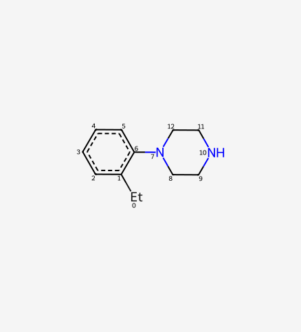 [CH2]Cc1ccccc1N1CCNCC1